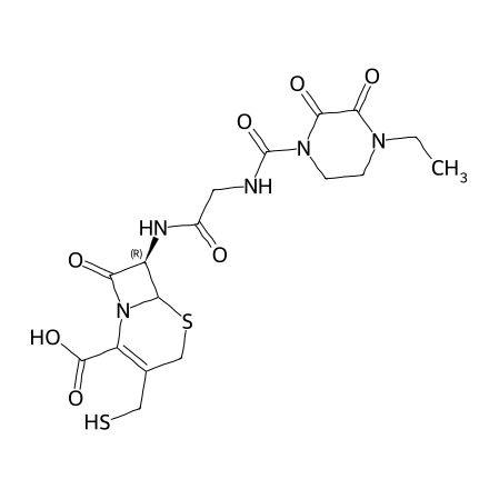 CCN1CCN(C(=O)NCC(=O)N[C@@H]2C(=O)N3C(C(=O)O)=C(CS)CSC23)C(=O)C1=O